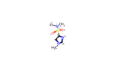 CCN(C)S(=O)(=O)c1cn(C)cn1